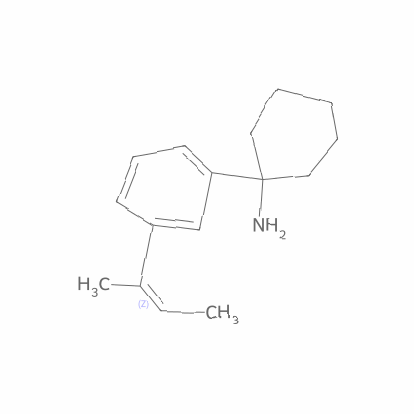 C/C=C(/C)c1cccc(C2(N)CCCCC2)c1